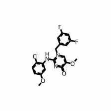 COc1ccc(Cl)c(Nc2nc(=O)c(OC)cn2Cc2cc(F)cc(F)c2)c1